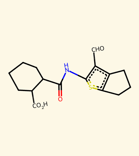 O=Cc1c(NC(=O)C2CCCCC2C(=O)O)sc2c1CCC2